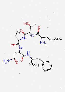 CSCC[C@H](N)C(=O)N[C@H](C(=O)N[C@@H](CC(C)C)C(=O)N[C@@H](CC(N)=O)C(=O)N[C@@H](Cc1ccccc1)C(=O)O)[C@@H](C)O